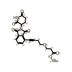 CC(C)(C)OC(=O)CCOCCC#Cc1cccc2c1C(=O)N(C1CCC(=O)NC1=O)C2=O